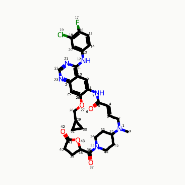 CN(C/C=C/C(=O)Nc1cc2c(Nc3ccc(F)c(Cl)c3)ncnc2cc1OCC1CC1)C1CCN(C(=O)C2CCC(=O)O2)CC1